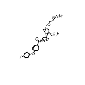 [N-]=[N+]=NCCOCC12CC(C(=O)O)N(C(=O)CNC(=O)c3ccc(Oc4ccc(F)cc4)cc3)C1C2